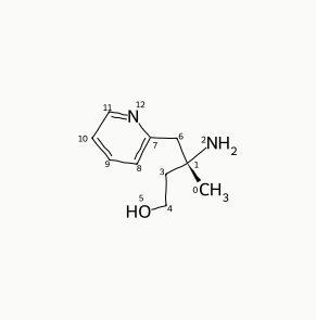 C[C@@](N)(CCO)Cc1ccccn1